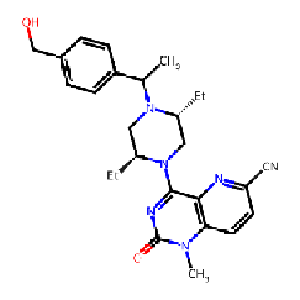 CC[C@H]1CN(C(C)c2ccc(CO)cc2)[C@H](CC)CN1c1nc(=O)n(C)c2ccc(C#N)nc12